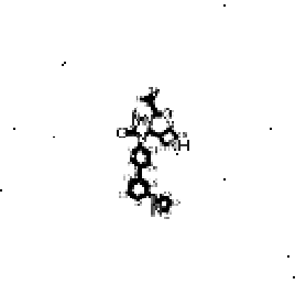 CN1C(=O)N(c2ccc(-c3cccc(-n4cccn4)c3)cc2)C(C2CCNC2)N1C(=O)C1CC1